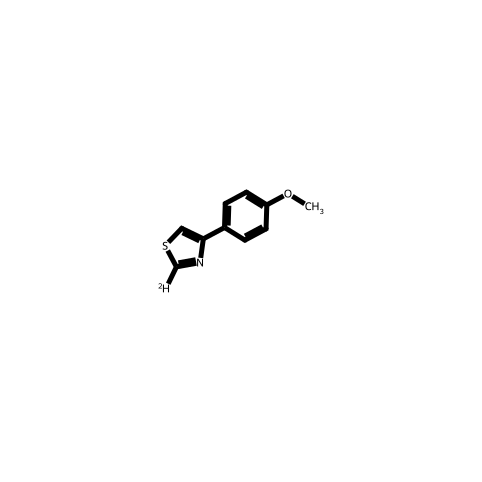 [2H]c1nc(-c2ccc(OC)cc2)cs1